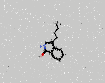 CCCCc1c[nH]c(=O)c2ccccc12